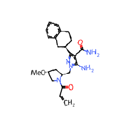 C=CC(=O)N1C[C@H](OC)C[C@H]1Cn1nc([C@@H]2CCc3ccccc3C2)c(C(N)=O)c1N